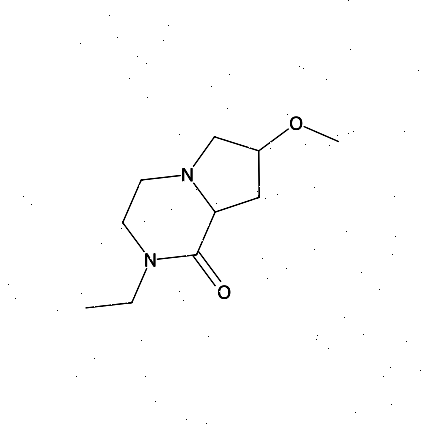 CCN1CCN2CC(OC)CC2C1=O